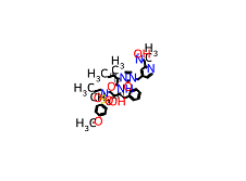 CC[C@H](C)[C@@H](C(=O)N[C@@H](Cc1ccccc1)[C@H](O)CN(CC(C)C)S(=O)(=O)c1ccc(OC)cc1)n1ccn(Cc2ccnc(C(C)=NO)c2)c1=O